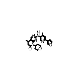 Cc1cc(-c2ccoc2)ncc1Nc1ncc2c(n1)N(C1CCOCC1)C(=O)CC2C